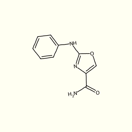 NC(=O)c1coc(Nc2ccccc2)n1